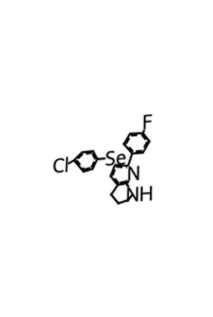 Fc1ccc(-c2nc3c(cc2[Se]c2ccc(Cl)cc2)CCCN3)cc1